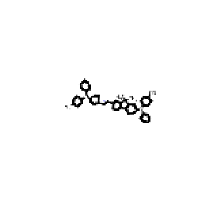 CC1(C)c2cc(/C=C/c3ccc(N(c4ccccc4)c4ccc(C#N)cc4)cc3)ccc2-c2ccc(N(c3ccccc3)c3ccc(C#N)cc3)cc21